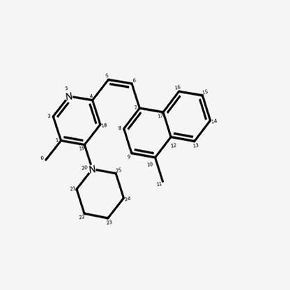 Cc1cnc(/C=C\c2ccc(C)c3ccccc23)cc1N1CCCCC1